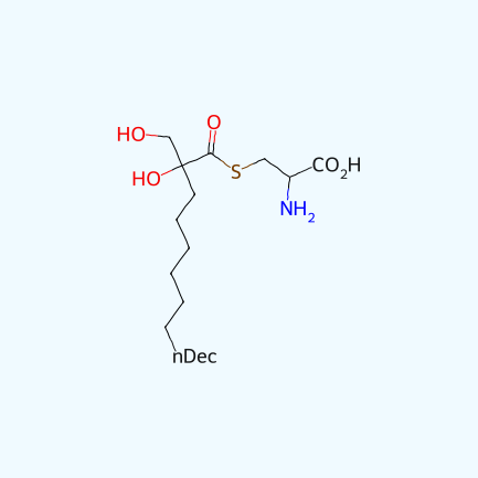 CCCCCCCCCCCCCCCCC(O)(CO)C(=O)SCC(N)C(=O)O